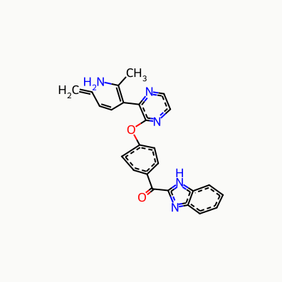 C=C/C=C\C(=C(\C)N)c1nccnc1Oc1ccc(C(=O)c2nc3ccccc3[nH]2)cc1